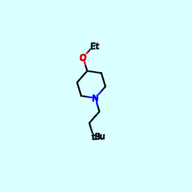 CCOC1CCN(CCC(C)(C)C)CC1